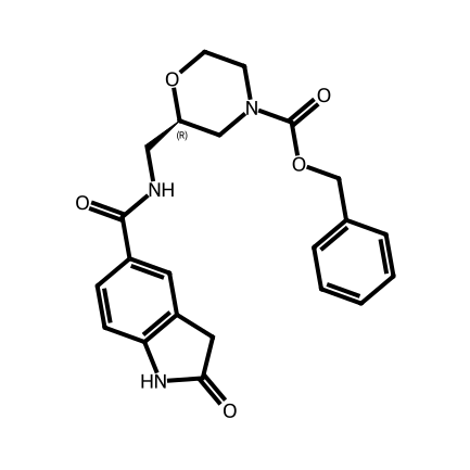 O=C1Cc2cc(C(=O)NC[C@@H]3CN(C(=O)OCc4ccccc4)CCO3)ccc2N1